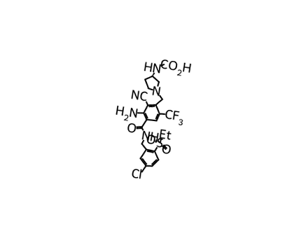 CCS(=O)(=O)c1ccc(Cl)cc1CNC(=O)c1cc(C(F)(F)F)c(CN2CC[C@@H](NC(=O)O)C2)c(C#N)c1N